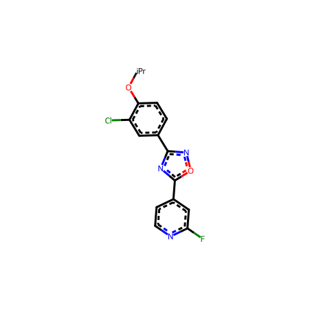 CC(C)Oc1ccc(-c2noc(-c3ccnc(F)c3)n2)cc1Cl